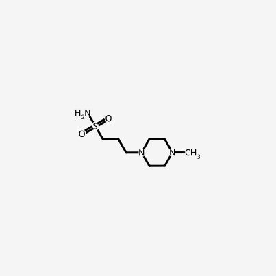 CN1CCN(CCCS(N)(=O)=O)CC1